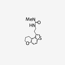 CNC(=O)NCCc1csc2ccc3c(c12)CCCO3